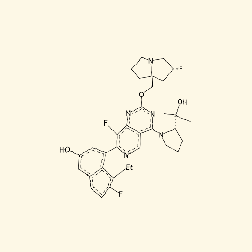 CCc1c(F)ccc2cc(O)cc(-c3ncc4c(N5CCC[C@H]5C(C)(C)O)nc(OC[C@@]56CCCN5C[C@H](F)C6)nc4c3F)c12